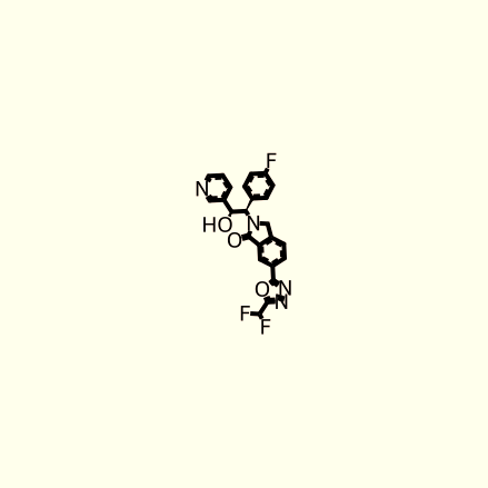 O=C1c2cc(-c3nnc(C(F)F)o3)ccc2CN1[C@H](c1ccc(F)cc1)[C@@H](O)c1cccnc1